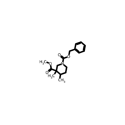 COC(=O)C1(C)CN(C(=O)OCc2ccccc2)CCC1C